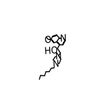 CCCCCCCN1CCN(CC(O)c2ccnc3ccc(OC)cc23)CC1